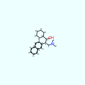 CN(C)C[C@@H](c1ccc2ccccc2c1)[C@H](O)C1CCCCC1